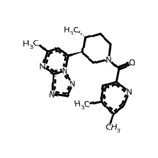 Cc1cc([C@@H]2CN(C(=O)c3cc(C)c(C)cn3)CC[C@H]2C)n2ncnc2n1